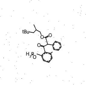 Cc1cccc(C)c1C(=O)C(C(=O)OCC(C)CC(C)(C)C)c1ccccc1.O=[PH3]